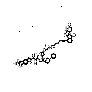 CC(C)(C)[C@H](NC(=O)c1cc2cc(C(F)(F)P(=O)(O)O)ccc2s1)C(=O)N1C[C@@H](OCC(=O)NCCCCCC#Cc2cccc3c2C(=O)N(C2CCC(=O)NC2=O)C3=O)C[C@H]1C(=O)N1CCC[C@H](c2ccccc2)C1